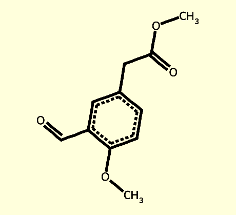 COC(=O)Cc1ccc(OC)c(C=O)c1